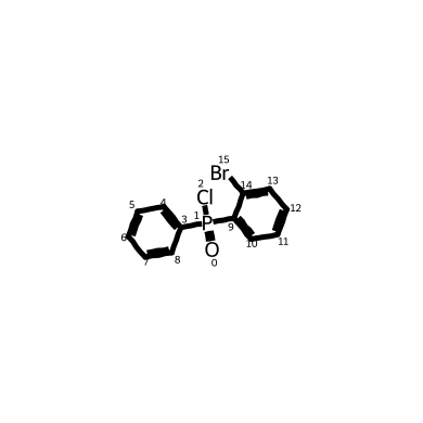 O=P(Cl)(c1ccccc1)c1ccccc1Br